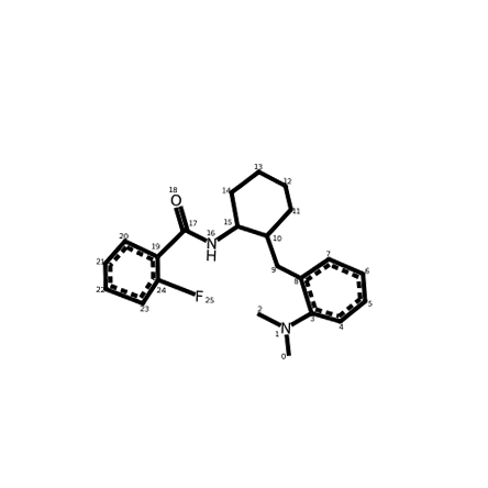 CN(C)c1ccccc1CC1CCCCC1NC(=O)c1ccccc1F